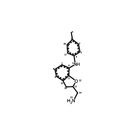 Cc1ccc(Nc2cccc3c2OC(CN)C3)cc1